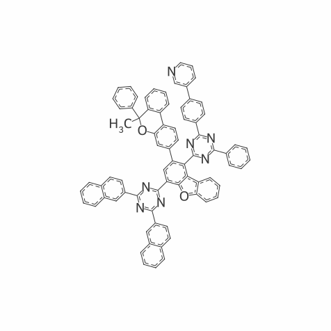 CC1(c2ccccc2)Oc2cc(-c3cc(-c4nc(-c5ccc6ccccc6c5)nc(-c5ccc6ccccc6c5)n4)c4oc5ccccc5c4c3-c3nc(-c4ccccc4)nc(-c4ccc(-c5cccnc5)cc4)n3)ccc2-c2ccccc21